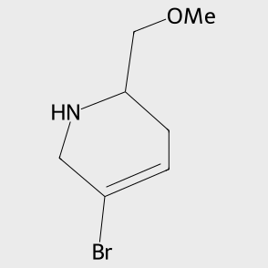 COCC1CC=C(Br)CN1